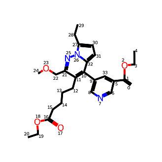 C=C(OCC)c1cncc(-c2c(CCCCC(=O)OCC)c(COC)nn3c(CC)ccc23)c1